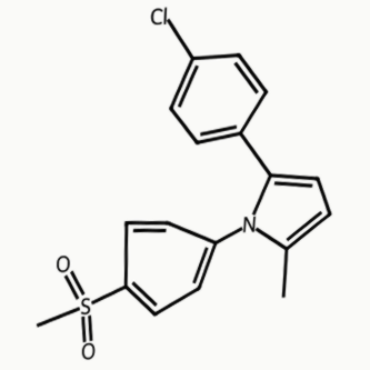 Cc1ccc(-c2ccc(Cl)cc2)n1-c1ccc(S(C)(=O)=O)cc1